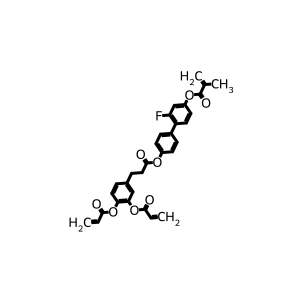 C=CC(=O)Oc1ccc(CCC(=O)Oc2ccc(-c3ccc(OC(=O)C(=C)C)cc3F)cc2)cc1OC(=O)C=C